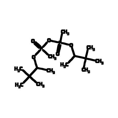 CC(OP(C)(=O)OP(C)(=O)OC(C)C(C)(C)C)C(C)(C)C